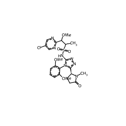 COc1cccc(OC)c1-n1c(NS(=O)(=O)C(C)C(OC)c2ncc(Cl)cn2)nnc1[C@@H]1CCC(=O)N1C